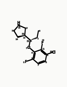 CC[C@H](Oc1c(F)ccc(Cl)c1F)[C@H]1CCNC1